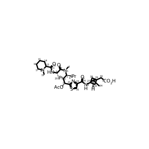 CC(=O)O[C@H](C[C@H](C(C)C)N(C)C(=O)[C@@H](NC(=O)C1CCCCN1C)C(C)C)c1nc(C(=O)NC23CC(CC(=O)O)(C2)[C@@H]3C)cs1